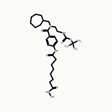 CC(C)(C)OC(=O)NCCN(CC1CCCCCC1)C(=O)c1ccc(NC(=O)CCCCCCC(=O)NO)cc1